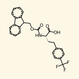 O=C(N[C@@H](CCc1ccc(C(F)(F)F)cc1)C(=O)O)OCC1c2ccccc2-c2ccccc21